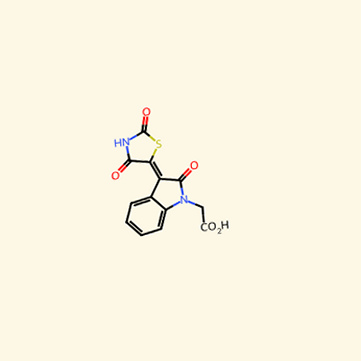 O=C(O)CN1C(=O)/C(=C2\SC(=O)NC2=O)c2ccccc21